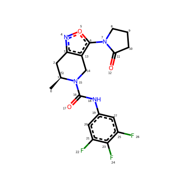 C[C@H]1Cc2noc(N3CCCC3=O)c2CN1C(=O)Nc1cc(F)c(F)c(F)c1